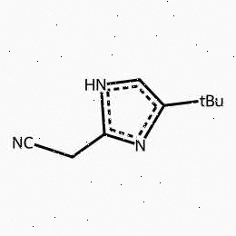 CC(C)(C)c1c[nH]c(CC#N)n1